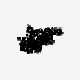 CC[C@H](C)[C@H](NC(=O)[C@@H](CCCNC(=N)N)NC(=O)[C@H](CC(C)C)NC(=O)[C@@H](NC(=O)[C@@H](NC(=O)OCC1c2ccccc2-c2ccccc21)[C@H](N)c1ccccc1)C(O)C(C)C)C(=O)N[C@H](C(=O)NCC(=O)N[C@@H](CCNC(=O)OCc1ccccc1)C(=O)N[C@@H](CO)C(=O)O)[C@H](C)O